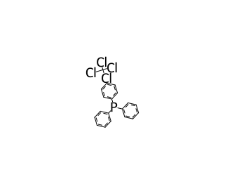 ClC(Cl)(Cl)Cl.c1ccc(P(c2ccccc2)c2ccccc2)cc1